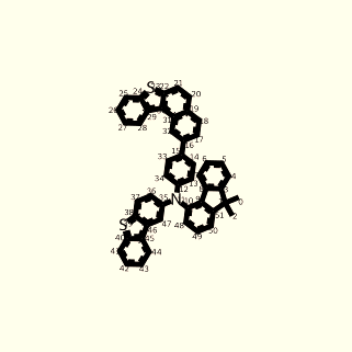 CC1(C)c2ccccc2-c2c(N(c3ccc(-c4ccc5ccc6sc7ccccc7c6c5c4)cc3)c3ccc4sc5ccccc5c4c3)cccc21